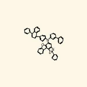 c1ccc(-c2cccc(N(c3ccc(-c4ccc(-c5ccccc5)c5ccccc45)cc3)c3cc4nc(-c5ccccc5)oc4c4c3oc3ccccc34)c2)cc1